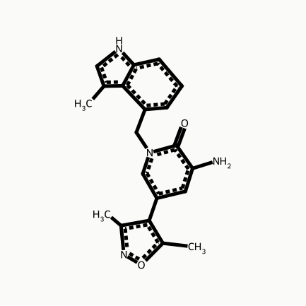 Cc1noc(C)c1-c1cc(N)c(=O)n(Cc2cccc3[nH]cc(C)c23)c1